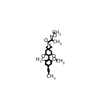 CC#Cc1cc(C)c(C2C(=O)CC3(CC2=O)CN(C(=O)/C(C)=N/OC)C3)c(OC)c1